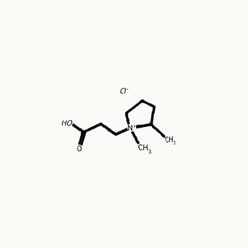 CC1CCC[N+]1(C)CCC(=O)O.[Cl-]